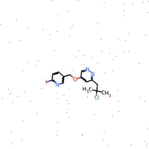 CC(C)(Cl)Cc1cc(OCc2ccc(I)nc2)cnn1